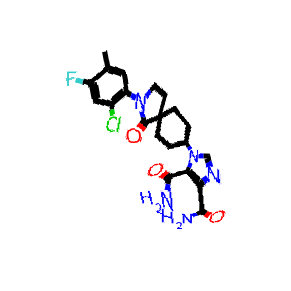 Cc1cc(N2CCC3(CCC(n4cnc(C(N)=O)c4C(N)=O)CC3)C2=O)c(Cl)cc1F